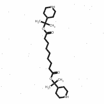 CC(C)(OC(=O)CCCCCCCC(=O)OC(C)(C)C1CCNCC1)C1CCNCC1